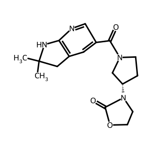 CC1(C)Cc2cc(C(=O)N3CC[C@H](N4CCOC4=O)C3)cnc2N1